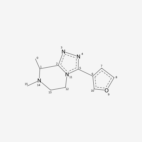 CC1c2nnc(-c3ccoc3)n2CCN1C